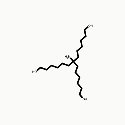 NC(CCCCCCO)(CCCCCCO)CCCCCCO